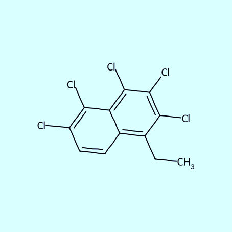 CCc1c(Cl)c(Cl)c(Cl)c2c(Cl)c(Cl)ccc12